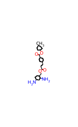 Cc1ccc(OC(=O)c2ccc(/C=C/C(=O)OCc3ccc(N)cc3N)cc2)cc1